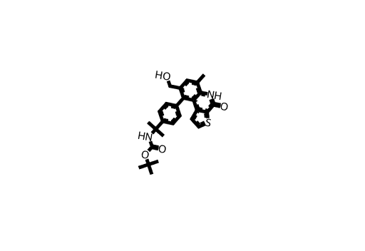 Cc1cc(CO)c(-c2ccc(C(C)(C)NC(=O)OC(C)(C)C)cc2)c2c1[nH]c(=O)c1sccc12